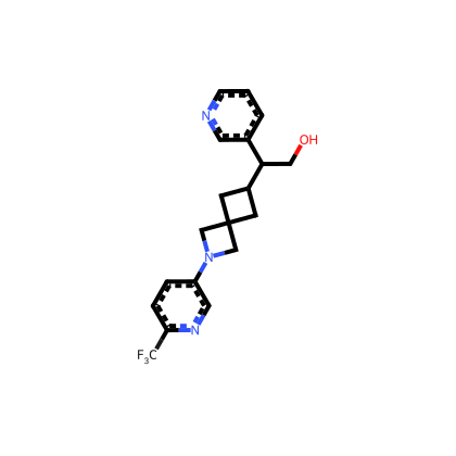 OCC(c1cccnc1)C1CC2(C1)CN(c1ccc(C(F)(F)F)nc1)C2